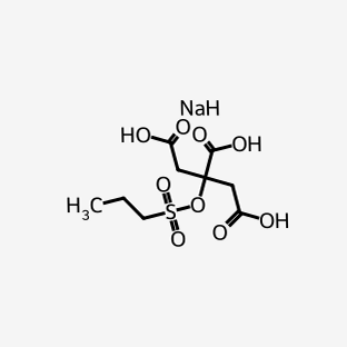 CCCS(=O)(=O)OC(CC(=O)O)(CC(=O)O)C(=O)O.[NaH]